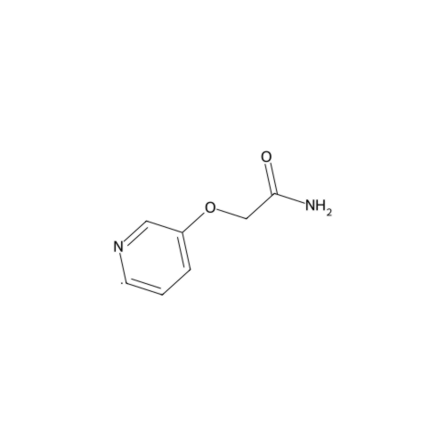 NC(=O)COc1cc[c]nc1